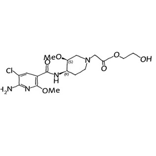 COc1nc(N)c(Cl)cc1C(=O)N[C@@H]1CCN(CC(=O)OCCO)C[C@@H]1OC